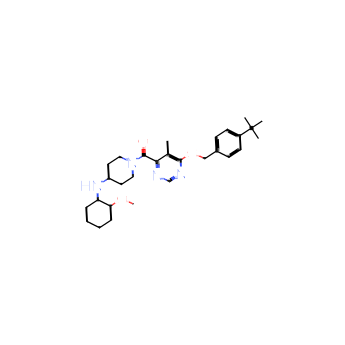 COC1CCCCC1NC1CCN(C(=O)c2ncnc(OCc3ccc(C(C)(C)C)cc3)c2C)CC1